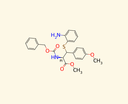 COC(=O)[C@@H](NC(=O)OCc1ccccc1)C(Sc1ccccc1N)c1ccc(OC)cc1